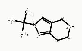 CC(C)(C)n1cc2c(n1)CCNC2